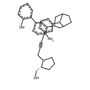 Nc1nnc(-c2ccccc2O)cc1N1CC2CCC(C1)N2c1ccnc(C#CCN2CCC[C@@H]2CO)c1